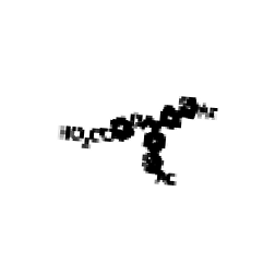 CC(=O)c1csc(-c2ccc(C(=CCOc3ccc(OCC(=O)O)cc3)c3ccc(-c4cc(C(C)=O)cs4)cc3)cc2)c1